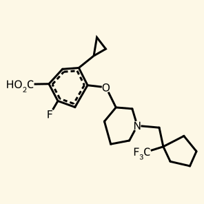 O=C(O)c1cc(C2CC2)c(OC2CCCN(CC3(C(F)(F)F)CCCC3)C2)cc1F